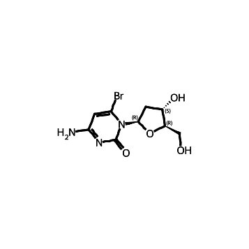 Nc1cc(Br)n([C@H]2C[C@H](O)[C@@H](CO)O2)c(=O)n1